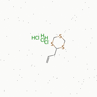 C=CCC1SCSCS1.Cl.Cl.Cl